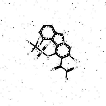 Cc1cn2nc3cccc(C)c3c2c(OS(=O)(=O)C(F)(F)F)c1C(=O)C(=O)O